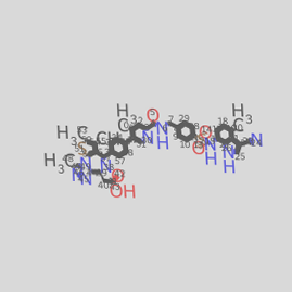 Cc1cc(C(=O)NCc2ccc(S(=O)(=O)Nc3ccc(C)c4c(C#N)c[nH]c34)cc2)ncc1-c1ccc(C2=N[C@@H](CC(=O)O)c3nnc(C)n3-c3sc(C)c(C)c32)cc1